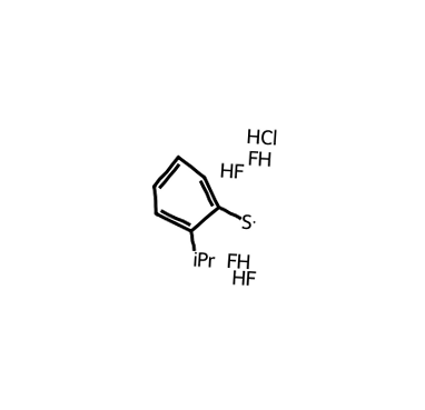 CC(C)c1ccccc1[S].Cl.F.F.F.F